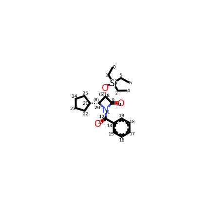 CC[Si](CC)(CC)O[C@@H]1C(=O)N(C(=O)c2ccccc2)[C@@H]1C1CCCC1